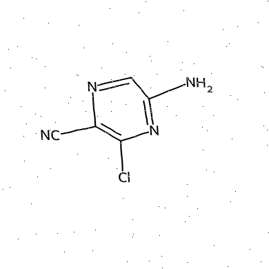 N#Cc1ncc(N)nc1Cl